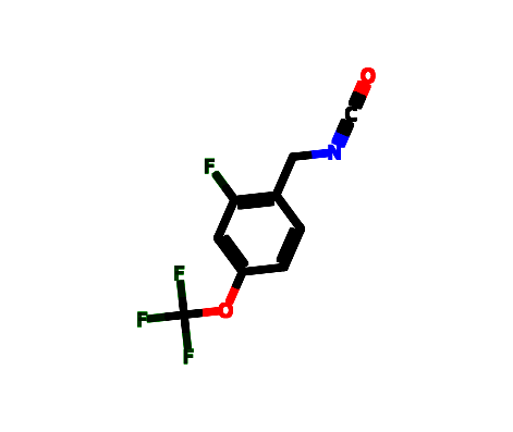 O=C=NCc1ccc(OC(F)(F)F)cc1F